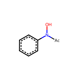 CC(=O)N(O)c1ccccc1